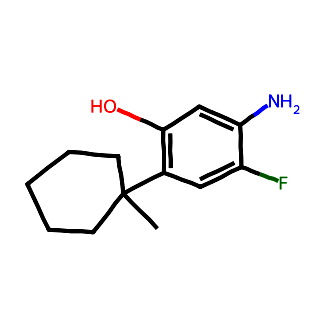 CC1(c2cc(F)c(N)cc2O)CCCCC1